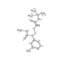 COC(=O)C(CCNC(=O)OC(C)(C)C)c1cccc(Cl)c1